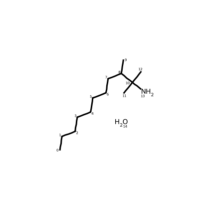 CCCCCCCCC(C)C(C)(C)N.O